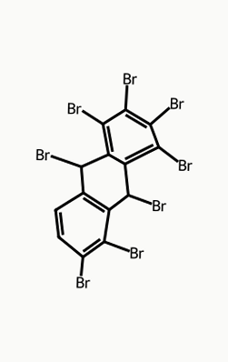 Brc1ccc2c(c1Br)C(Br)c1c(Br)c(Br)c(Br)c(Br)c1C2Br